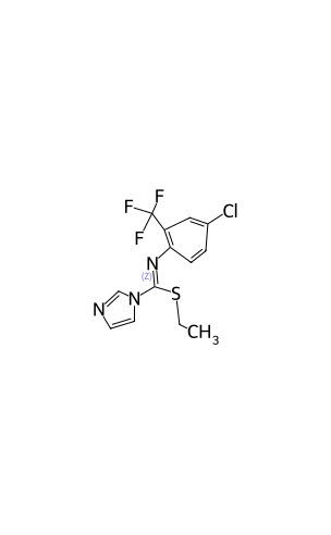 CCS/C(=N\c1ccc(Cl)cc1C(F)(F)F)n1ccnc1